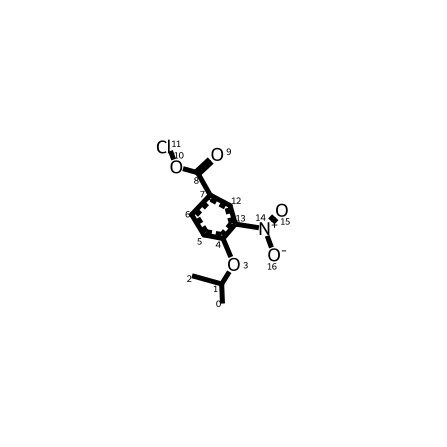 CC(C)Oc1ccc(C(=O)OCl)cc1[N+](=O)[O-]